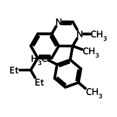 CCC(CC)c1ccc2c(c1)C(C)(c1cc(C)ccc1C)N(C)C=N2